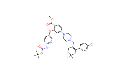 COC(=O)c1ccc(N2CCN(CC3=C(c4ccc(Cl)cc4)CC(C)(C)CC3)CC2)cc1Oc1ccc(NC(=O)OC(C)(C)C)nc1